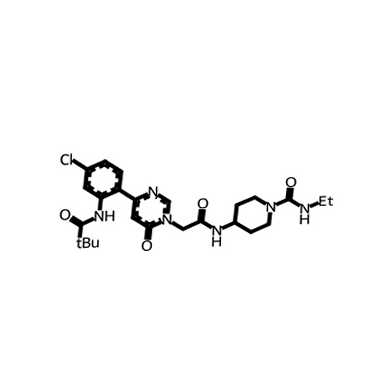 CCNC(=O)N1CCC(NC(=O)Cn2cnc(-c3ccc(Cl)cc3NC(=O)C(C)(C)C)cc2=O)CC1